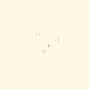 Cc1c2c(nc3nc(Cl)cc(Cl)c13)CCC2